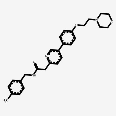 Cc1ccc(CNC(=O)Cc2ccc(-c3ccc(OCCN4CCOCC4)cc3)cn2)cc1